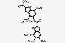 COC(=O)c1cc2c3c(cc(OC)c2[nH]1)N(C(=O)c1cc2cc(OC)c(OC)c(OC)c2[nH]1)C[C@H]3CCl